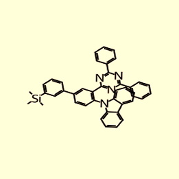 C[Si](C)(C)c1cccc(-c2ccc(-n3c4ccccc4c4ccccc43)c(-c3nc(-c4ccccc4)nc(-c4ccccc4)n3)c2)c1